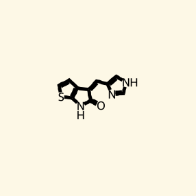 O=C1Nc2sccc2/C1=C/c1c[nH]cn1